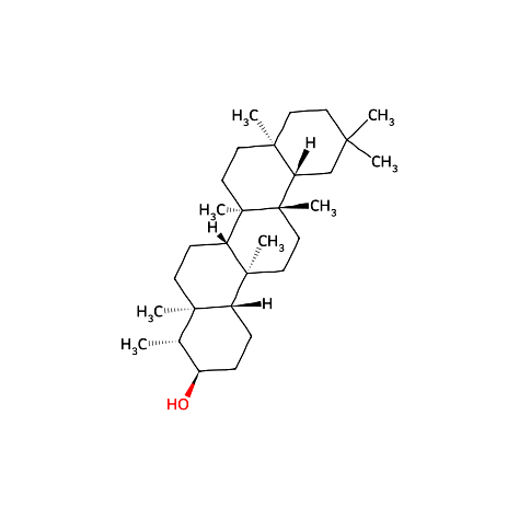 C[C@H]1[C@H](O)CC[C@@H]2[C@]1(C)CC[C@H]1[C@@]2(C)CC[C@@]2(C)[C@H]3CC(C)(C)CC[C@]3(C)CC[C@]12C